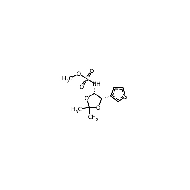 COS(=O)(=O)N[C@H]1OC(C)(C)O[C@H]1c1ccsc1